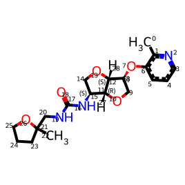 Cc1ncccc1O[C@H]1CO[C@H]2[C@@H]1OC[C@@H]2NC(=O)NCC1(C)CCCO1